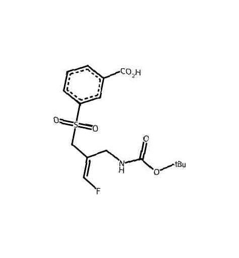 CC(C)(C)OC(=O)NC/C(=C\F)CS(=O)(=O)c1cccc(C(=O)O)c1